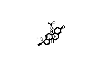 C#C[C@]1(O)CC[C@H]2[C@@H]3CCC4=CC(=O)C[C@H](OC(C)=O)[C@@H]4[C@H]3CC[C@@]21C